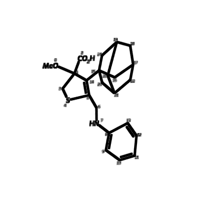 COC1(C(=O)O)CSC(CNc2ccccc2)=C1C12CC3CC(CC(C3)C1)C2